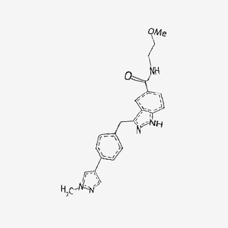 COCCNC(=O)c1ccc2[nH]nc(Cc3ccc(-c4cnn(C)c4)cc3)c2c1